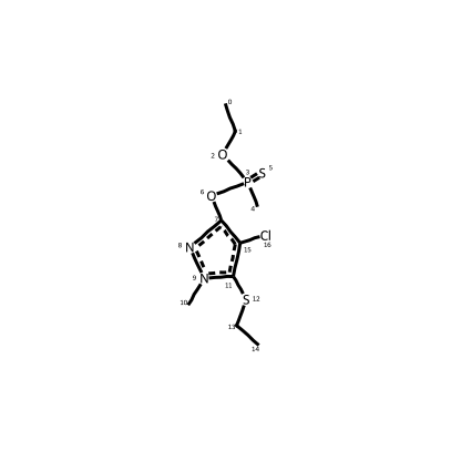 CCOP(C)(=S)Oc1nn(C)c(SCC)c1Cl